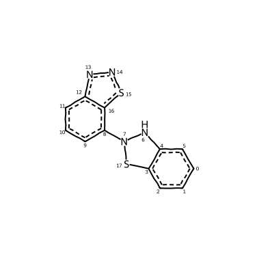 c1ccc2c(c1)NN(c1cccc3nnsc13)S2